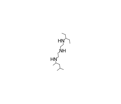 CCC(CC)NCCNCCNC(C)CC(C)C